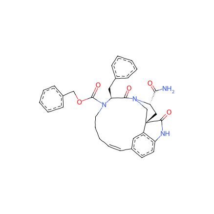 NC(=O)[C@@H]1C[C@]23CN1C(=O)[C@H](Cc1ccccc1)N(C(=O)OCc1ccccc1)CCC/C=C\c1ccc(c2c1)NC3=O